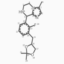 Cc1cnc2n1CCNC2c1cccc(CC2COC(C)(C)O2)c1F